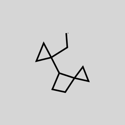 [CH2]CC1([C]2CCC23CC3)CC1